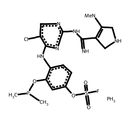 CNC1=C(C(=N)Nc2ncc(Cl)c(Nc3ccc(OS(=O)(=O)F)cc3OP(C)C)n2)CNC1.P